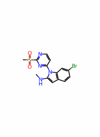 CNc1cc2ccc(Br)cc2n1-c1ccnc(S(C)(=O)=O)n1